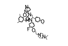 COc1ccc(C(CN(C(=O)Oc2c(C)cc(C)cc2C)c2ccncn2)Nc2ccc(OCCN3CCN(C(C)C)CC3)c(F)c2)cc1